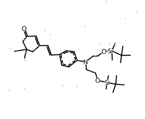 CC1(C)CC(=O)C=C(C=Cc2ccc(N(CCO[Si](C)(C)C(C)(C)C)CCO[Si](C)(C)C(C)(C)C)cc2)C1